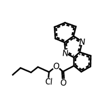 CCCCC(Cl)OC(=O)c1cccc2nc3ccccc3nc12